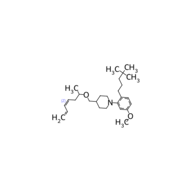 C=C/C=C\CC(C)OCC1CCN(c2cc(OC)ccc2CCCC(C)(C)C)CC1